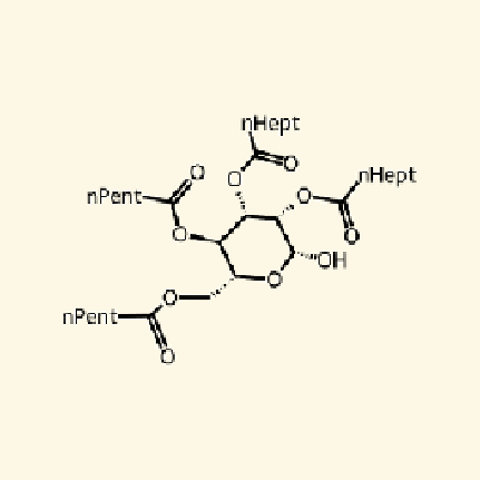 CCCCCCCC(=O)O[C@@H]1[C@H](OC(=O)CCCCCCC)[C@H](O)O[C@H](COC(=O)CCCCC)[C@H]1OC(=O)CCCCC